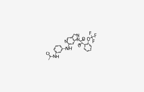 CC(=O)Nc1cccc(Nc2cc3c(cn2)cnn3S(=O)(=O)c2ccccc2OC(F)(F)F)c1